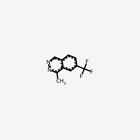 Cc1nncc2ccc(C(F)(F)F)cc12